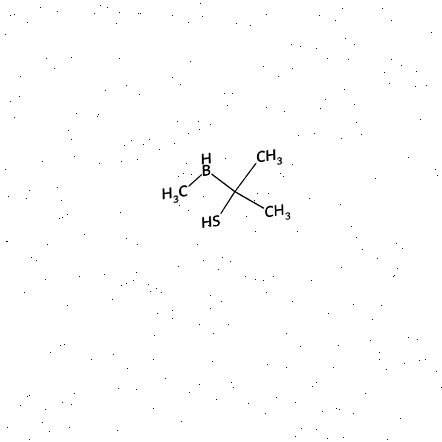 CBC(C)(C)S